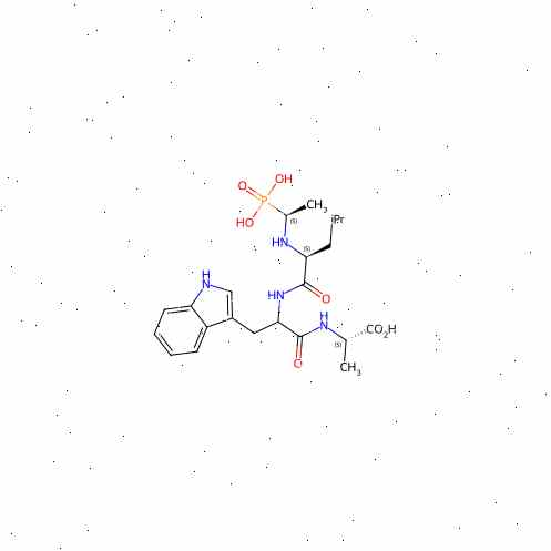 CC(C)C[C@H](N[C@H](C)P(=O)(O)O)C(=O)NC(Cc1c[nH]c2ccccc12)C(=O)N[C@@H](C)C(=O)O